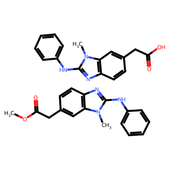 COC(=O)Cc1ccc2nc(Nc3ccccc3)n(C)c2c1.Cn1c(Nc2ccccc2)nc2ccc(CC(=O)O)cc21